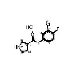 Cl.O=C(Nc1ccc(F)c(Cl)c1)[C@H]1CCNC1